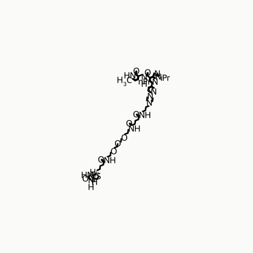 CCCc1cc(C)[nH]c(=O)c1CNC(=O)c1cc(-c2ccc(N3CCN(CCCCNC(=O)CCCC(=O)NCCCOCCOCCOCCCNC(=O)CCCC[C@@H]4SC[C@@H]5NC(=O)N[C@@H]54)CC3)nc2)nc2c1cnn2C(C)C